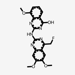 COc1cc2nc(Nc3nc(O)c4cccc(OC)c4n3)nc(CF)c2cc1OC